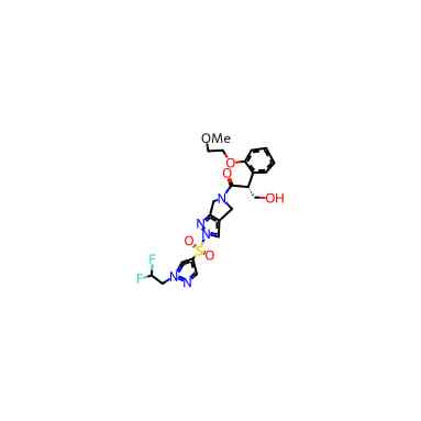 COCCOc1ccccc1[C@H](CO)C(=O)N1Cc2cn(S(=O)(=O)c3cnn(CC(F)F)c3)nc2C1